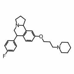 Fc1ccc(C2CN3CCCC3c3cc(OCCCN4CCCCC4)ccc32)cc1